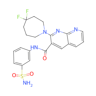 NS(=O)(=O)c1cccc(NC(=O)c2cc3cccnc3nc2N2CCCC(F)(F)CC2)c1